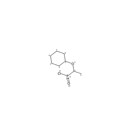 CC(OC1CCCCC1)[PH](=O)Cl